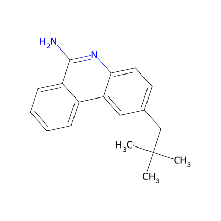 CC(C)(C)Cc1ccc2nc(N)c3ccccc3c2c1